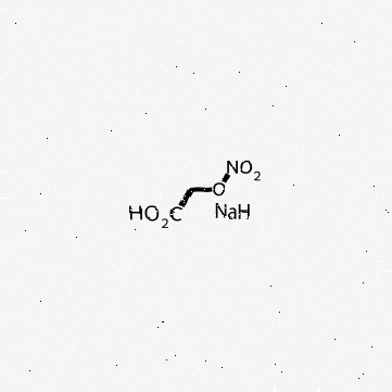 O=C(O)CO[N+](=O)[O-].[NaH]